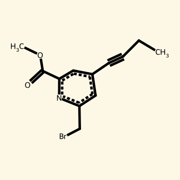 CCC#Cc1cc(CBr)nc(C(=O)OC)c1